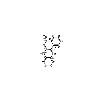 O=c1cc2[nH]c3ccccc3cc-2c2ccccc12